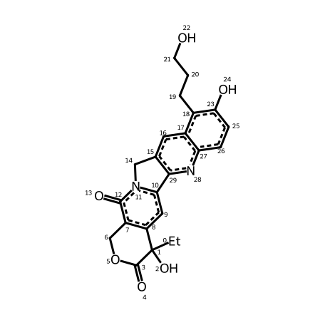 CCC1(O)C(=O)OCc2c1cc1n(c2=O)Cc2cc3c(CCCO)c(O)ccc3nc2-1